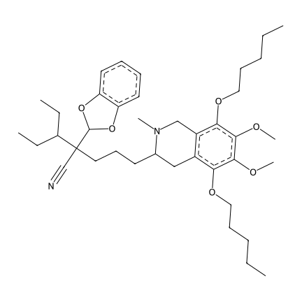 CCCCCOc1c2c(c(OCCCCC)c(OC)c1OC)CN(C)C(CCCC(C#N)(C(CC)CC)C1Oc3ccccc3O1)C2